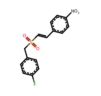 O=[N+]([O-])c1ccc(C=CS(=O)(=O)Cc2ccc(F)cc2)cc1